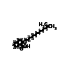 CC(C)CCCCCCCCCCCCOc1ccc2ccccc2c1C(=O)O